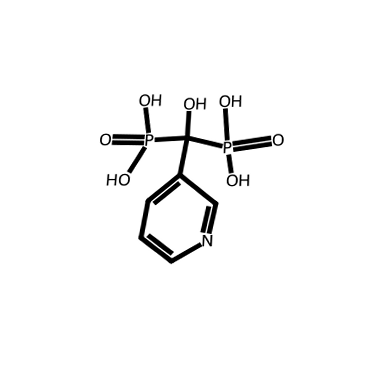 O=P(O)(O)C(O)(c1cccnc1)P(=O)(O)O